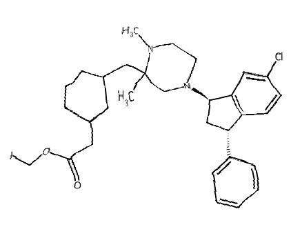 CN1CCN([C@@H]2C[C@@H](c3ccccc3)c3ccc(Cl)cc32)CC1(C)CC1CCCC(CC(=O)OCI)C1